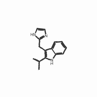 CC(C)c1[nH]c2ccccc2c1Cc1ncc[nH]1